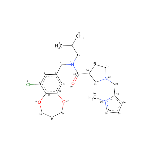 CC(C)CN(Cc1cc(Cl)c2c(c1)OCCCO2)C(=O)[C@@H]1CCN(Cc2cccn2C)C1